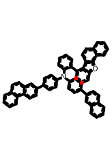 c1ccc(N(c2ccc(-c3ccc4ccccc4c3)cc2)c2ccc(-c3ccc4c(ccc5ccccc54)c3)cc2)c(-c2cccc3oc4c5ccccc5ccc4c23)c1